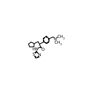 CN(C)Cc1ccc(C(CC2CCCC2)C(=O)Nc2nccs2)cc1